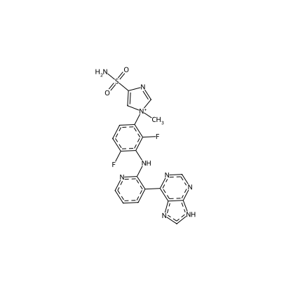 C[N+]1(c2ccc(F)c(Nc3ncccc3-c3ncnc4[nH]cnc34)c2F)C=NC(S(N)(=O)=O)=C1